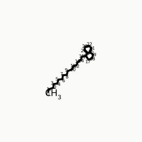 CCCCCCCCCCCCCCCCC1CCCc2ccccc21